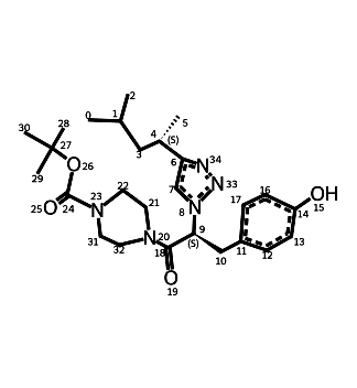 CC(C)C[C@H](C)c1cn([C@@H](Cc2ccc(O)cc2)C(=O)N2CCN(C(=O)OC(C)(C)C)CC2)nn1